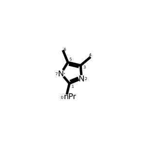 CCCC1=NC(C)=C(C)[N]1